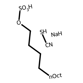 CCCCCCCCCCCCOS(=O)(=O)O.N#CS.[NaH]